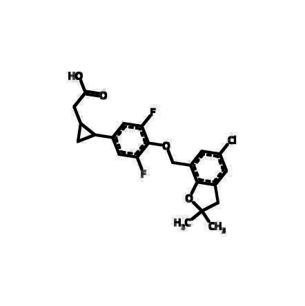 CC1(C)Cc2cc(Cl)cc(COc3c(F)cc(C4CC4CC(=O)O)cc3F)c2O1